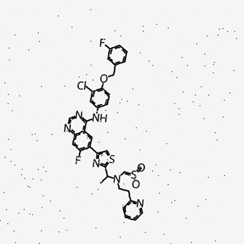 CC(c1nc(-c2cc3c(Nc4ccc(OCc5cccc(F)c5)c(Cl)c4)ncnc3cc2F)cs1)N(C=S(=O)=O)CCc1ccccn1